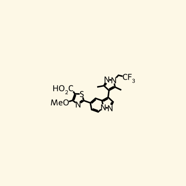 COc1nc(-c2ccn3ncc(-c4c(C)nn(CC(F)(F)F)c4C)c3c2)sc1C(=O)O